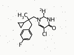 [2H][C@H]1NC(=O)C(Cl)=CN1CC(C)(Cc1ccc(F)cc1)C1CC1